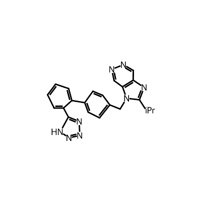 CC(C)c1nc2cnncc2n1Cc1ccc(-c2ccccc2-c2nnn[nH]2)cc1